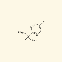 CCCCCCCC(C)(CCCCC)c1ncc(F)cn1